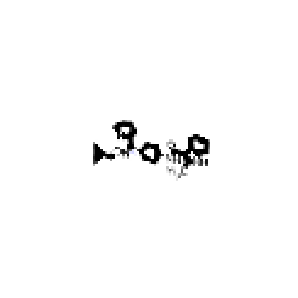 Cc1[nH]c2ccccc2c1C(=O)N[C@H]1CC[C@H](/C(=N/OCC2CC2)c2ccccn2)CC1